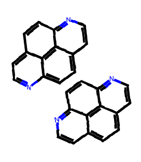 c1cc2ccc3ccnc4ccc(n1)c2c34.c1cc2ccc3nccc4ccc(n1)c2c43